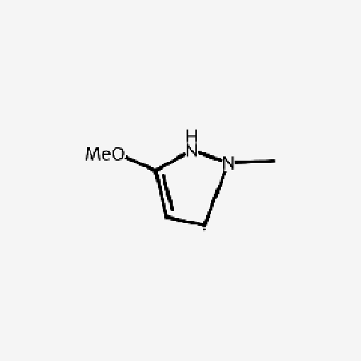 COC1=C[CH]N(C)N1